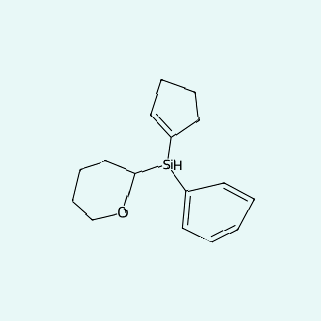 C1=C([SiH](c2ccccc2)C2CCCCO2)CCC1